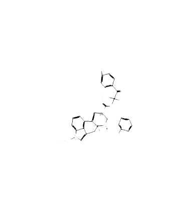 CCCCCCCCn1cc2c3c(cccc31)C1=C[C@@H](C(=O)OC(C)(C)C(=O)c3ccc(C)cc3)CN(C)[C@@H]1C2.O=C(O)c1ccccc1